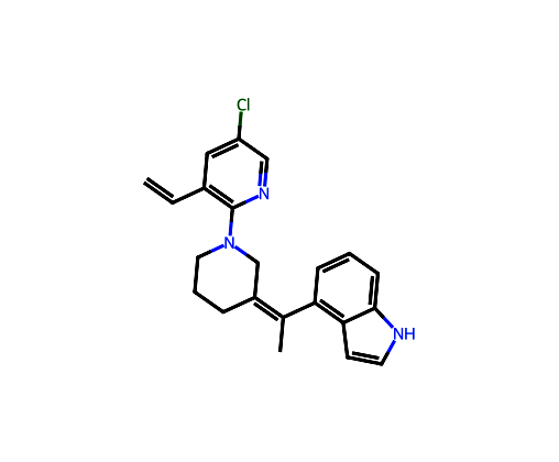 C=Cc1cc(Cl)cnc1N1CCC/C(=C(\C)c2cccc3[nH]ccc23)C1